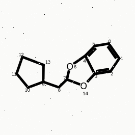 [c]1ccc2c(c1)OC(CC1CCCC1)O2